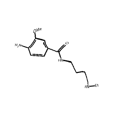 CCNCCCNC(=O)c1ccc(N)c(OC)c1